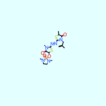 C=C(C)CN1C(=O)C(C)SC1=NN=C1SC(OP2(=O)N(C)CCN2C)C(=O)N1C